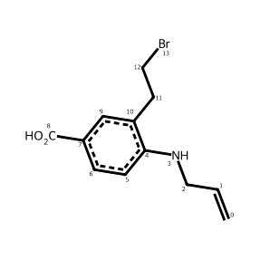 C=CCNc1ccc(C(=O)O)cc1CCBr